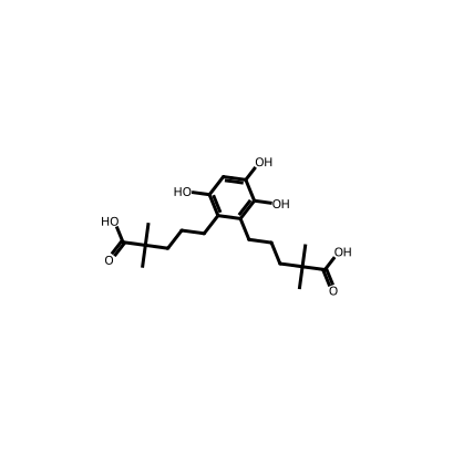 CC(C)(CCCc1c(O)cc(O)c(O)c1CCCC(C)(C)C(=O)O)C(=O)O